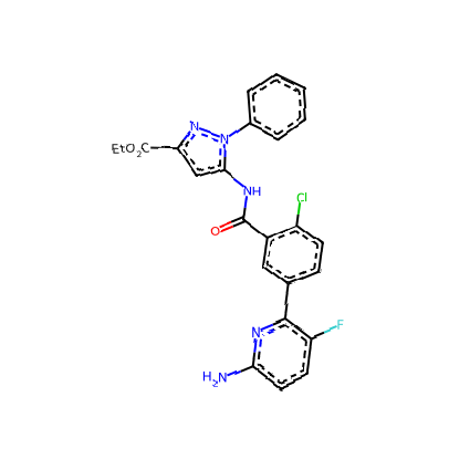 CCOC(=O)c1cc(NC(=O)c2cc(-c3nc(N)ccc3F)ccc2Cl)n(-c2ccccc2)n1